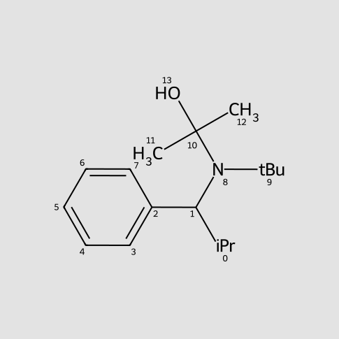 CC(C)C(c1ccccc1)N(C(C)(C)C)C(C)(C)O